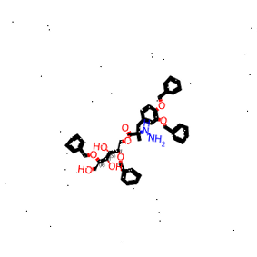 CC(Cc1ccc(OCc2ccccc2)c(OCc2ccccc2)c1)(NN)C(=O)OC[C@@H](OCc1ccccc1)[C@@H](O)[C@H](O)[C@@H](CO)OCc1ccccc1